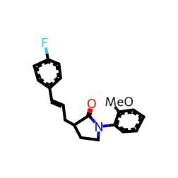 COc1ccccc1N1CCC(C/C=C/c2ccc(F)cc2)C1=O